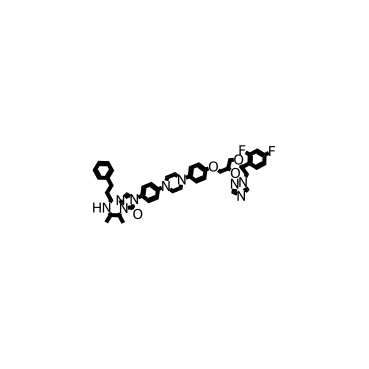 CC(NCCCc1ccccc1)C(C)n1ncn(-c2ccc(N3CCN(c4ccc(OCC5COC(Cn6cncn6)(c6ccc(F)cc6F)O5)cc4)CC3)cc2)c1=O